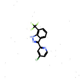 FC(F)(F)c1cccc2c(-c3cc(Cl)ccn3)n[nH]c12